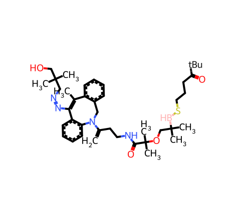 C=C(CCNC(=O)C(C)(C)OCC(C)(C)BSCCCC(=O)C(C)(C)C)N1Cc2ccccc2/C(C)=C(/N=N\CC(C)(C)CO)c2ccccc21